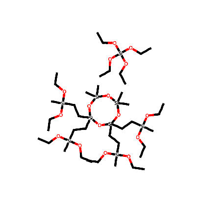 CCO[Si](C)(CC[Si]1(CC[Si](C)(OCC)OCC)O[Si](C)(C)O[Si](C)(C)O[Si](CC[Si](C)(OCC)OCC)(CC[Si](C)(OCC)OCC)O1)OCC.CCO[Si](OCC)(OCC)OCC